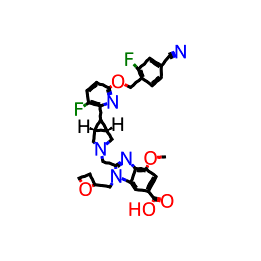 COc1cc(C(=O)O)cc2c1nc(CN1C[C@@H]3C(c4nc(OCc5ccc(C#N)cc5F)ccc4F)[C@@H]3C1)n2CC1CCO1